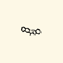 [CH2]C(c1ccc2ccccc2c1)c1nc2cnccc2[nH]1